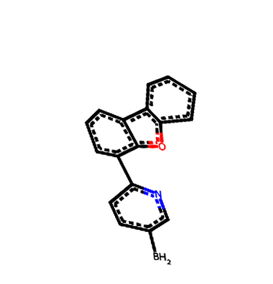 Bc1ccc(-c2cccc3c2oc2ccccc23)nc1